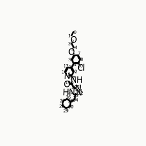 CCOCCOc1ccc(Cl)c(-c2ccnc(NC(=O)c3nnc(CC4CCCCC4)[nH]3)c2)c1